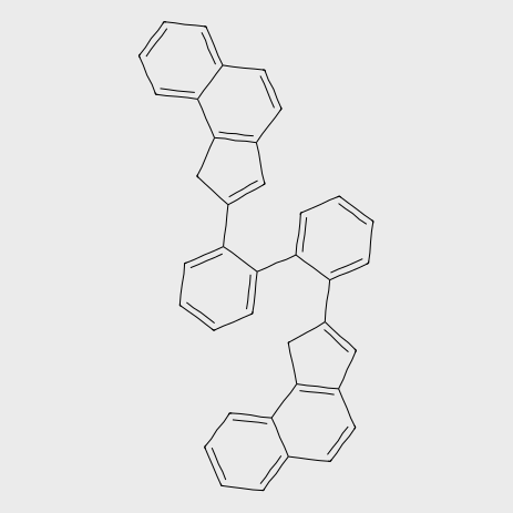 C1=C(c2ccccc2-c2ccccc2C2=Cc3ccc4ccccc4c3C2)Cc2c1ccc1ccccc21